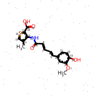 COc1cc(C=CC=CC(=O)Nc2c(C)csc2C(=O)O)ccc1O